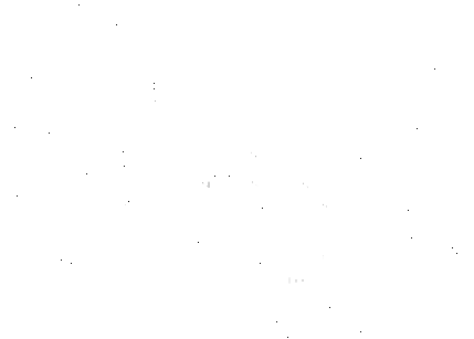 CCC1CCc2cc(N=Nc3nnc(C(=O)OCC(C)C)s3)c(NS(=O)(=O)CC(F)(F)F)cc2N1CC